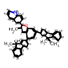 C=C1Cc2c(cc(-c3ccc4c(c3)C(C)(C)c3ccccc3-4)cc2-c2ccc3c(c2)C(C)(C)c2ccccc2-3)OC1c1ccc2ncccc2c1